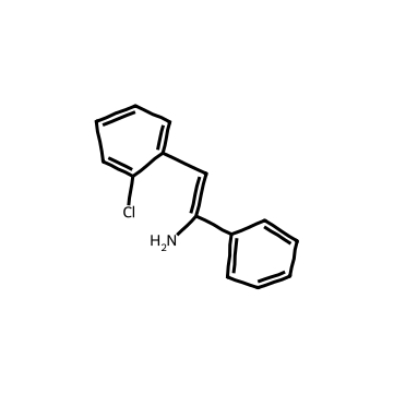 NC(=Cc1ccccc1Cl)c1ccccc1